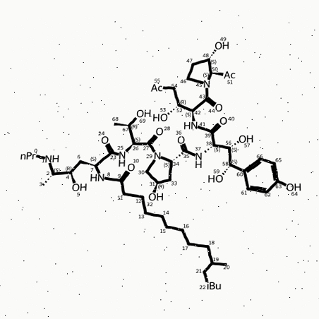 CCCN[C@@H](C)[C@H](O)C[C@H](NC(=O)CCCCCCCCC(C)CC(C)CC)C(=O)N[C@H](C(=O)N1C[C@H](O)C[C@H]1C(=O)N[C@H](C(=O)N[C@H](C(=O)N1CC[C@H](O)[C@H]1C(C)=O)[C@H](O)CC(C)=O)[C@H](O)[C@@H](O)c1ccc(O)cc1)[C@@H](C)O